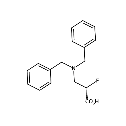 O=C(O)[C@@H](F)CN(Cc1ccccc1)Cc1ccccc1